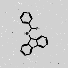 CCC(PC1c2ccccc2-c2ccccc21)c1ccccc1